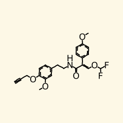 C#CCOc1ccc(CCNC(=O)/C(=C/OC(F)F)c2ccc(OC)cc2)cc1OC